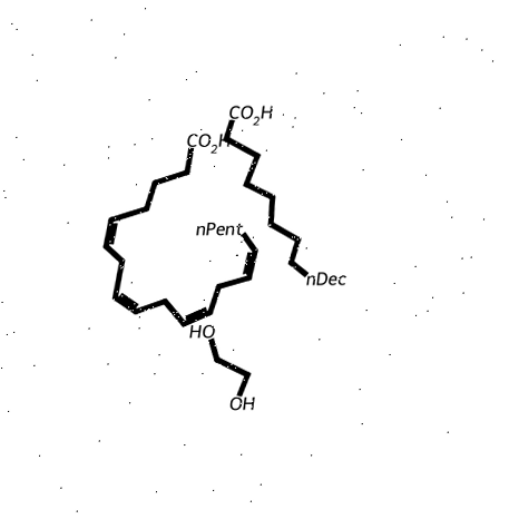 CCCCC/C=C\C/C=C\C/C=C\C/C=C\CCCC(=O)O.CCCCCCCCCCCCCCCCCC(=O)O.OCCO